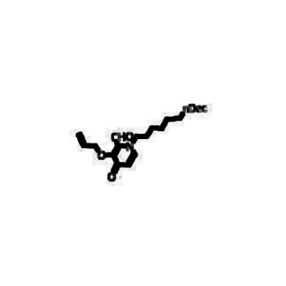 C=CCOc1c(C=O)n(CCCCCCCCCCCCCCCC)ccc1=O